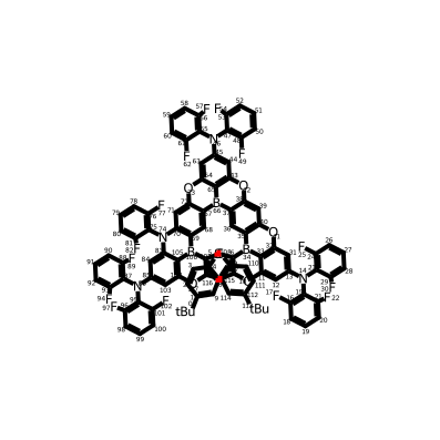 CC(C)(C)c1ccc2sc3c(c2c1)Oc1cc(N(c2c(F)cccc2F)c2c(F)cccc2F)cc2c1B3c1cc3c(cc1O2)Oc1cc(N(c2c(F)cccc2F)c2c(F)cccc2F)cc2c1B3c1cc3c(cc1O2)N(c1c(F)cccc1F)c1cc(N(c2c(F)cccc2F)c2c(F)cccc2F)cc2c1B3c1sc3ccc(C(C)(C)C)cc3c1O2